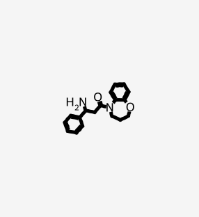 NC(CC(=O)N1CCCOc2ccccc21)c1ccccc1